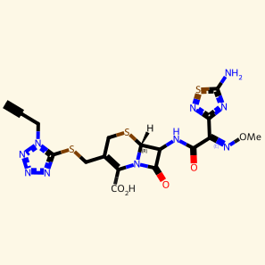 C#CCn1nnnc1SCC1=C(C(=O)O)N2C(=O)C(NC(=O)/C(=N/OC)c3nsc(N)n3)[C@H]2SC1